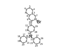 Brc1cc2ccccc2cc1-c1ccc(N(c2ccccc2)c2ccccc2)cc1